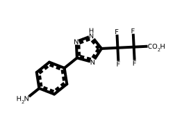 Nc1ccc(-c2n[nH]c(C(F)(F)C(F)(F)C(=O)O)n2)cc1